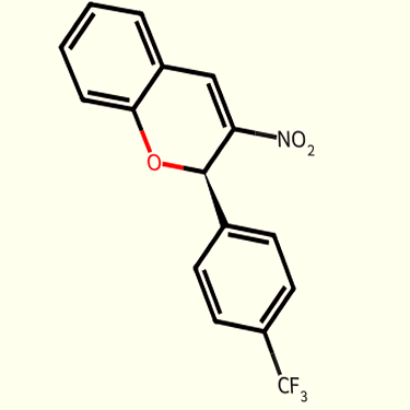 O=[N+]([O-])C1=Cc2ccccc2O[C@@H]1c1ccc(C(F)(F)F)cc1